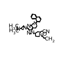 C=CC(=O)N1CCC(n2cnc3c(N4CC(N(C)C)C4)nc4c(c32)CCN(c2cccc3ccccc23)C4)CC1CC#N